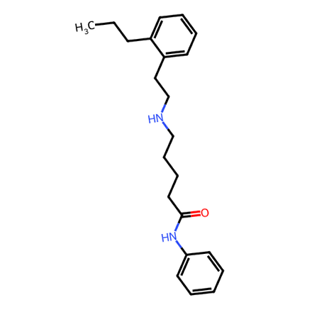 CCCc1ccccc1CCNCCCCC(=O)Nc1ccccc1